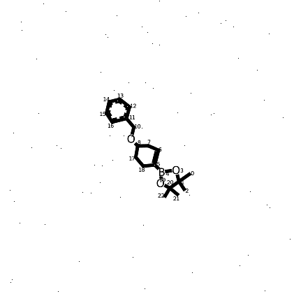 CC1(C)OB(C2=CCC(OCc3ccccc3)CC2)OC1(C)C